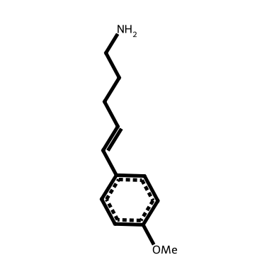 COc1ccc(C=CCCCN)cc1